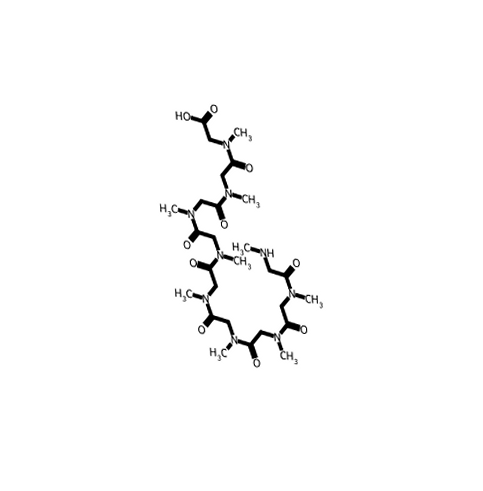 CNCC(=O)N(C)CC(=O)N(C)CC(=O)N(C)CC(=O)N(C)CC(=O)N(C)CC(=O)N(C)CC(=O)N(C)CC(=O)N(C)CC(=O)O